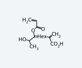 C=C(CCCCCC)C(=O)O.C=CC(=O)OCC(C)O